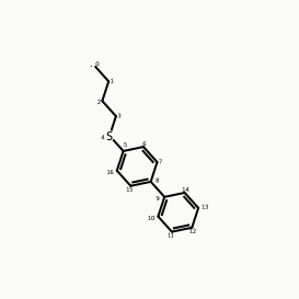 [CH2]CCCSc1ccc(-c2ccccc2)cc1